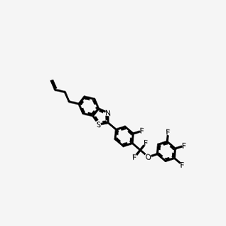 C=CCCc1ccc2nc(-c3ccc(C(F)(F)Oc4cc(F)c(F)c(F)c4)c(F)c3)sc2c1